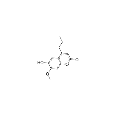 CCCc1cc(=O)oc2cc(OC)c(O)cc12